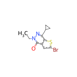 CCn1nc(C2CC2)c2sc(Br)cc2c1=O